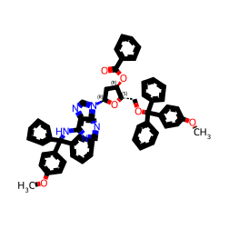 COc1ccc(C(Nc2ncnc3c2ncn3[C@H]2C[C@@H](OC(=O)c3ccccc3)[C@H](COC(c3ccccc3)(c3ccccc3)c3ccc(OC)cc3)O2)(c2ccccc2)c2ccccc2)cc1